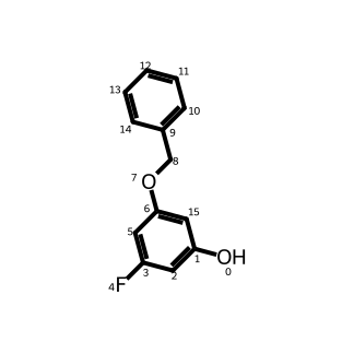 Oc1cc(F)cc(OCc2ccccc2)c1